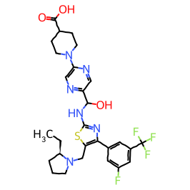 CC[C@@H]1CCCN1Cc1sc(NC(O)c2cnc(N3CCC(C(=O)O)CC3)cn2)nc1-c1cc(F)cc(C(F)(F)F)c1